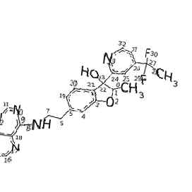 CC1Oc2cc(CCNc3ncnc4nccnc34)ccc2C1(O)c1cc(C(C)(F)F)ccn1